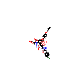 C#CCCOc1ccc(CO[C@]2(C(=O)O)C[C@H](O)[C@@H](NC(=O)CO)[C@H]([C@H](O)[C@H](O)CNC(=O)Cc3ccc(Cl)cc3)O2)cc1